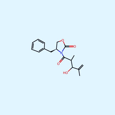 C=C(C)C(O)C(C)C(=O)N1C(=O)OC[C@@H]1Cc1ccccc1